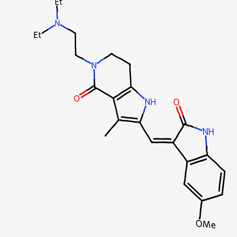 CCN(CC)CCN1CCc2[nH]c(/C=C3\C(=O)Nc4ccc(OC)cc43)c(C)c2C1=O